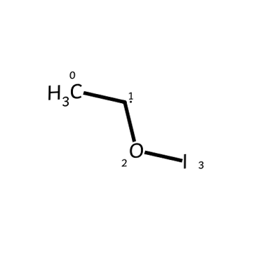 C[CH]OI